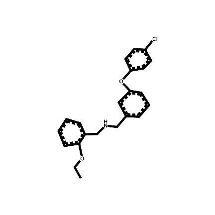 CCOc1ccccc1CNCc1cccc(Oc2ccc(Cl)cc2)c1